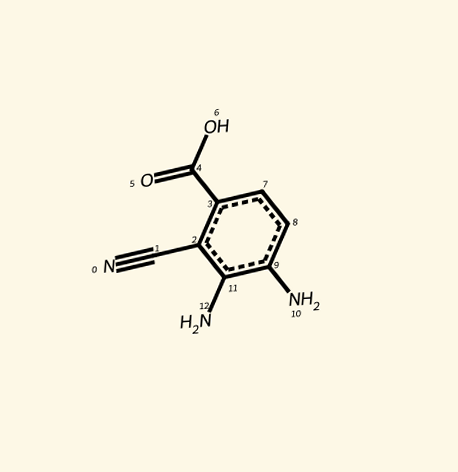 N#Cc1c(C(=O)O)ccc(N)c1N